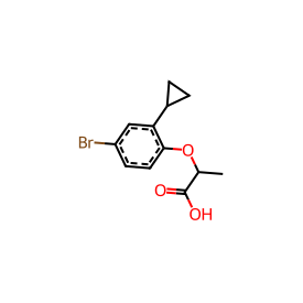 CC(Oc1ccc(Br)cc1C1CC1)C(=O)O